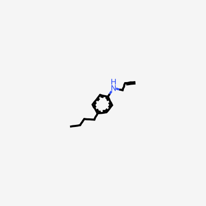 C=CCNc1ccc(CCCC)cc1